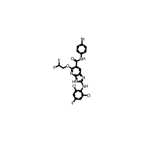 O=C(Nc1ccc(Br)cc1)c1cc2nc(Nc3c(Cl)cc(F)cc3Cl)[nH]c2nc1OCC(F)F